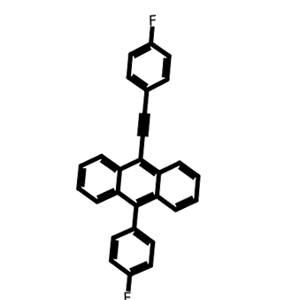 Fc1ccc(C#Cc2c3ccccc3c(-c3ccc(F)cc3)c3ccccc23)cc1